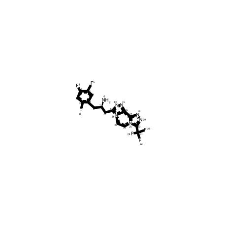 N[C@H](Cc1cc(F)c(F)cc1F)Cc1nnc2c3nnc(C(F)(F)F)n3ccn12